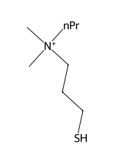 CCC[N+](C)(C)CCCS